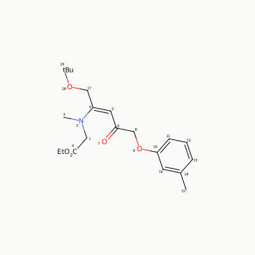 CCOC(=O)CN(C)C(=CC(=O)COc1cccc(C)c1)COC(C)(C)C